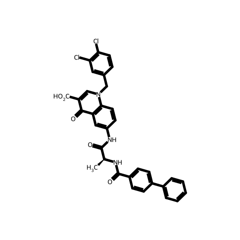 C[C@H](NC(=O)c1ccc(-c2ccccc2)cc1)C(=O)Nc1ccc2c(c1)c(=O)c(C(=O)O)cn2Cc1ccc(Cl)c(Cl)c1